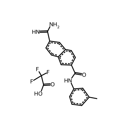 Cc1cccc(NC(=O)c2ccc3cc(C(=N)N)ccc3c2)c1.O=C(O)C(F)(F)F